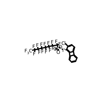 O=S(=O)(O[I+]c1c(Cl)ccc2c1-c1ccccc1-2)C(F)(F)C(F)(F)C(F)(F)C(F)(F)C(F)(F)C(F)(F)C(F)(F)C(F)(F)F